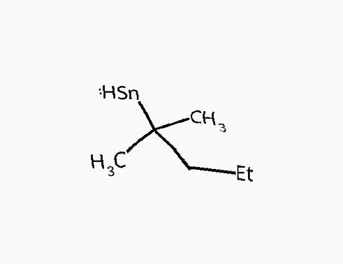 CCC[C](C)(C)[SnH]